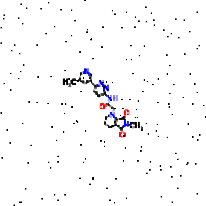 Cc1cncc(-c2ccc(NC(=O)CN3CCCC4=C3C(=O)N(C)C4=O)nn2)c1